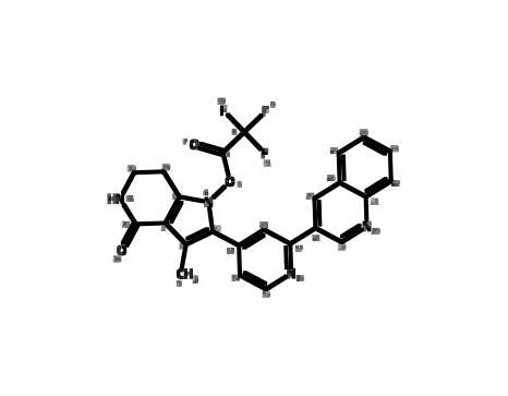 Cc1c2c(n(OC(=O)C(F)(F)F)c1-c1ccnc(-c3cnc4ccccc4c3)c1)CCNC2=O